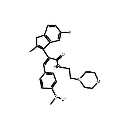 CC1=C(C(=Cc2ccc([S+](C)[O-])cc2)C(=O)NCCN2CCOCC2)c2cc(F)ccc2C1